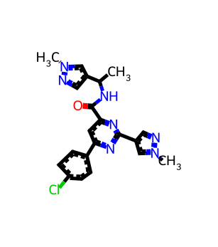 CC(NC(=O)c1cc(-c2ccc(Cl)cc2)nc(-c2cnn(C)c2)n1)c1cnn(C)c1